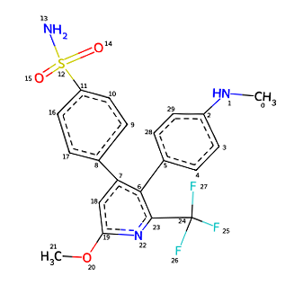 CNc1ccc(-c2c(-c3ccc(S(N)(=O)=O)cc3)cc(OC)nc2C(F)(F)F)cc1